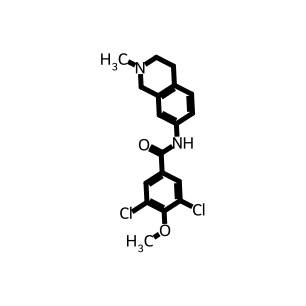 COc1c(Cl)cc(C(=O)Nc2ccc3c(c2)CN(C)CC3)cc1Cl